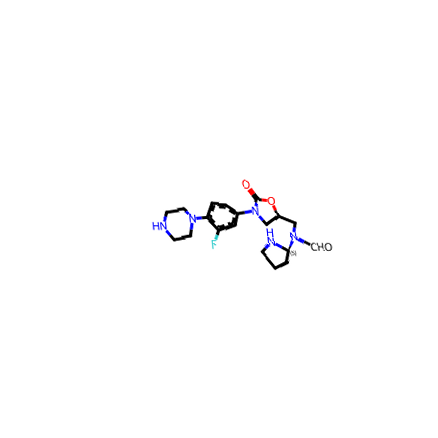 O=CN(CC1CN(c2ccc(N3CCNCC3)c(F)c2)C(=O)O1)[C@H]1CCCN1